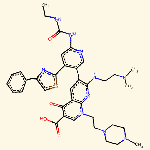 CCNC(=O)Nc1cc(-c2nc(-c3ccccc3)cs2)c(-c2cc3c(=O)c(C(=O)O)cn(CCN4CCN(C)CC4)c3nc2NCCN(C)C)cn1